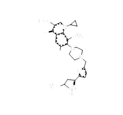 COc1c(N2CCN(Cc3ccc(C4=NNC(SC)C4)o3)CC2)c(F)cc2c(=O)c(C(=O)O)cn(C3CC3)c12